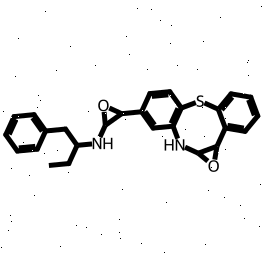 CCC(Cc1ccccc1)NC1OC1c1ccc2c(c1)NC1OC1c1ccccc1S2